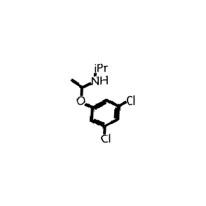 CC(C)NC(C)Oc1cc(Cl)cc(Cl)c1